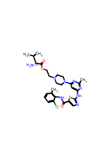 Cc1nc(Nc2ncc(C(=O)Nc3c(C)cccc3Cl)s2)cc(N2CCN(CCOC(=O)[C@H](N)C(C)C)CC2)n1